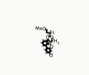 CCN(CCOC)C(=O)Oc1c2cccc(-c3ccc(Cl)cc3Cl)c2nn1C